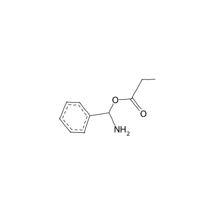 CCC(=O)OC(N)c1ccccc1